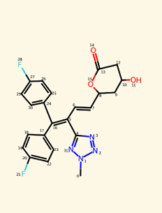 Cn1nnc(C(/C=C/C2CC(O)CC(=O)O2)=C(c2ccc(F)cc2)c2ccc(F)cc2)n1